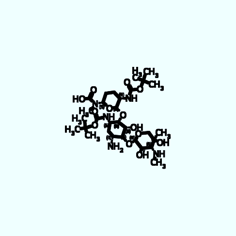 CN[C@@H]1[C@@H](O)[C@@H](O[C@@H]2[C@@H](O)[C@H](O[C@@H]3O[C@H](N(C)C(=O)O)CC[C@H]3NC(=O)OC(C)(C)C)[C@@H](NC(=O)OC(C)(C)C)C[C@H]2N)OC[C@]1(C)O